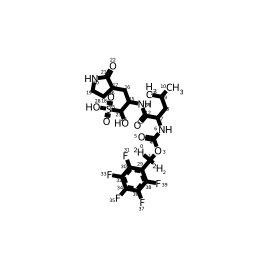 [2H]C([2H])(OC(=O)NC(CC(C)C)C(=O)NC(CC1CCNC1=O)C(O)S(=O)(=O)O)c1c(F)c(F)c(F)c(F)c1F